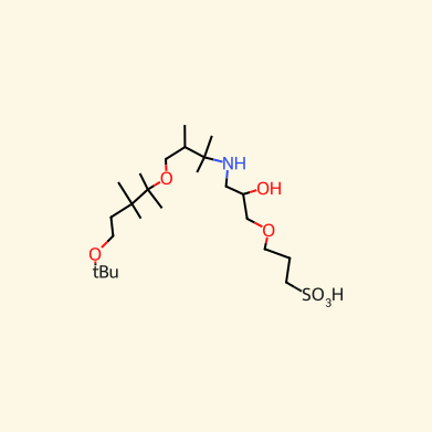 CC(COC(C)(C)C(C)(C)CCOC(C)(C)C)C(C)(C)NCC(O)COCCCS(=O)(=O)O